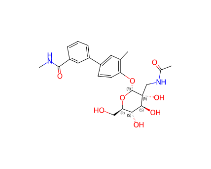 CNC(=O)c1cccc(-c2ccc(O[C@H]3O[C@H](CO)[C@@H](O)[C@H](O)[C@]3(O)CNC(C)=O)c(C)c2)c1